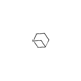 [CH]1CCC2CN1C2